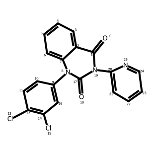 O=c1c2ccccc2n(-c2ccc(Cl)c(Cl)c2)c(=O)n1-c1ccccn1